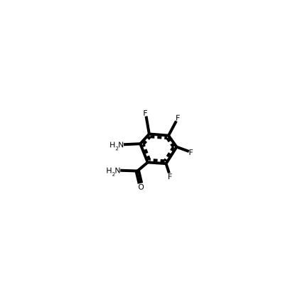 NC(=O)c1c(N)c(F)c(F)c(F)c1F